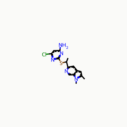 Cc1cc2cc(C(C)Sc3nc(N)cc(Cl)n3)ncc2n1C